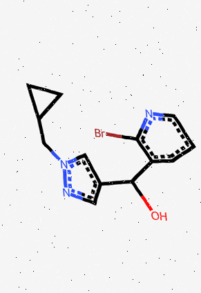 OC(c1cnn(CC2CC2)c1)c1cccnc1Br